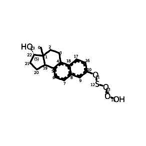 CC12CCc3c(ccc4cc(OSOOO)ccc34)C1CC[C@@H]2O